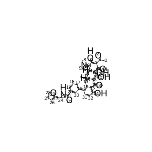 CC(=O)C1=C(O)[C@@H](N(C)C)[C@@H]2C[C@@H]3Cc4c(-c5cccc(C(=O)NCc6ccco6)c5)ccc(O)c4C(=O)C3=C(O)[C@]2(O)C1=O